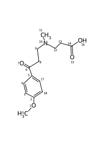 COc1ccc(C(=O)CCN(C)CCC(=O)O)cc1